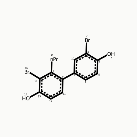 CCCc1c(-c2ccc(O)c(Br)c2)ccc(O)c1Br